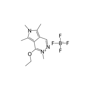 CCOc1c2c(C)n(C)c(C)c2cn[n+]1C.F[B-](F)(F)F